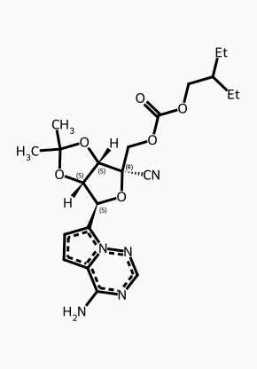 CCC(CC)COC(=O)OC[C@@]1(C#N)O[C@@H](c2ccc3c(N)ncnn23)[C@@H]2OC(C)(C)O[C@@H]21